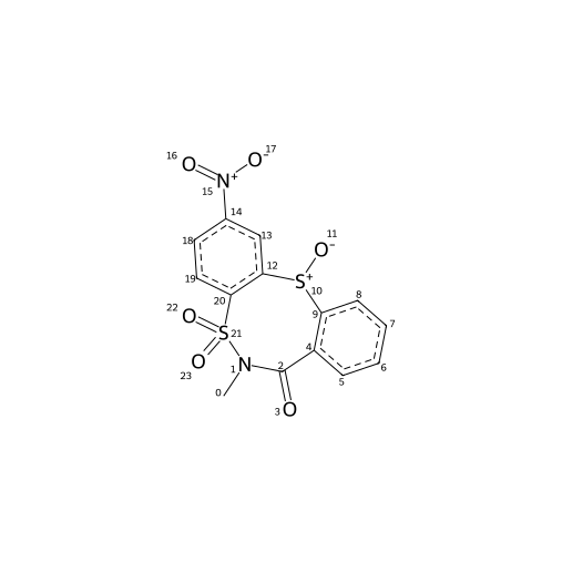 CN1C(=O)c2ccccc2[S+]([O-])c2cc([N+](=O)[O-])ccc2S1(=O)=O